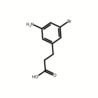 Nc1cc(Br)cc(CCC(=O)O)c1